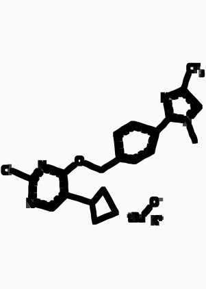 CC(C)(C)[O-].Cn1cc(C(F)(F)F)nc1-c1ccc(COc2nc(Cl)ncc2C2CCC2)cc1.[K+]